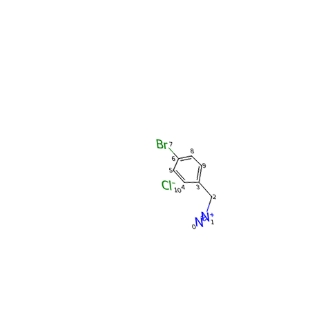 N#[N+]Cc1ccc(Br)cc1.[Cl-]